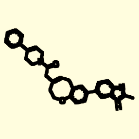 Cc1nc2ccc(-c3ccc4c(c3)C/C=C(/CC(=O)N3CC=C(c5ccccc5)CC3)CCO4)cc2[nH]1